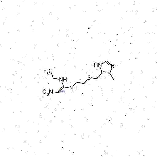 Cc1nc[nH]c1CSCCN/C(=C/[N+](=O)[O-])NCC(F)(F)F